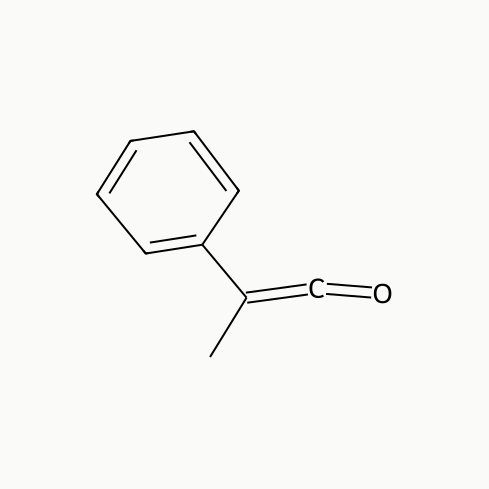 CC(=C=O)c1ccccc1